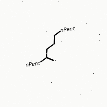 [CH2]C(CCCCC)CCCCCCCC